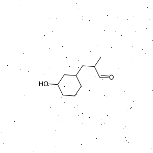 CC(C=O)CC1CCCC(O)C1